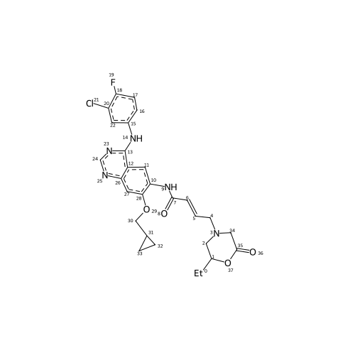 CCC1CN(CC=CC(=O)Nc2cc3c(Nc4ccc(F)c(Cl)c4)ncnc3cc2OCC2CC2)CC(=O)O1